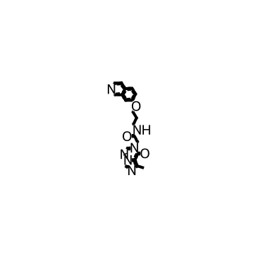 Cc1ncn2ncn(CC(=O)NCCCOc3ccc4ccncc4c3)c(=O)c12